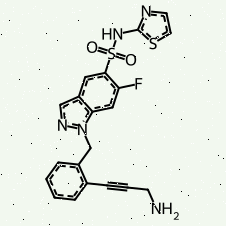 NCC#Cc1ccccc1Cn1ncc2cc(S(=O)(=O)Nc3nccs3)c(F)cc21